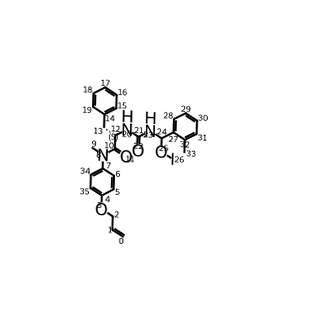 C=CCOc1ccc(N(C)C(=O)[C@H](Cc2ccccc2)NC(=O)NC(OI)c2ccccc2C)cc1